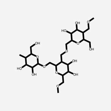 COCC1OC(COC2OC(CO)C(C)C(O)C2O)C(COCC2OC(CO)C(COC)C(O)C2O)C(O)C1O